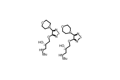 CC(C)(C)NC[C@H](O)COc1nsnc1N1CCOCC1.CC(C)(C)NC[C@H](O)COc1nsnc1N1CCOCC1